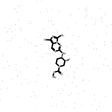 CC(C)c1nc(Cl)c2cnc(N[C@@H]3CCN(C(=O)OC(C)(C)C)C[C@@H]3F)nn12